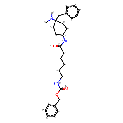 CN(C)C1(Cc2ccccc2)CCC(NC(=O)CCCCCNC(=O)OCc2ccccc2)CC1